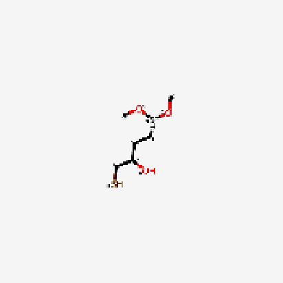 CO[SiH](CCC(O)CS)OC